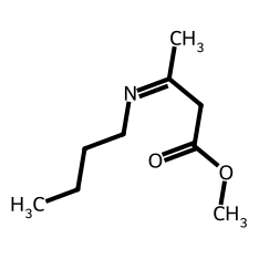 CCCC/N=C(/C)CC(=O)OC